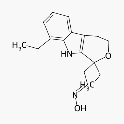 CCc1cccc2c3c([nH]c12)C(CC)(CC=NO)OCC3